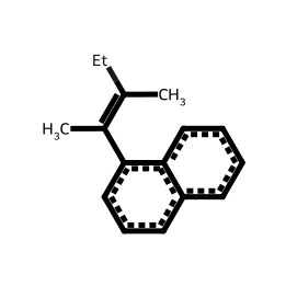 CCC(C)=C(C)c1cccc2ccccc12